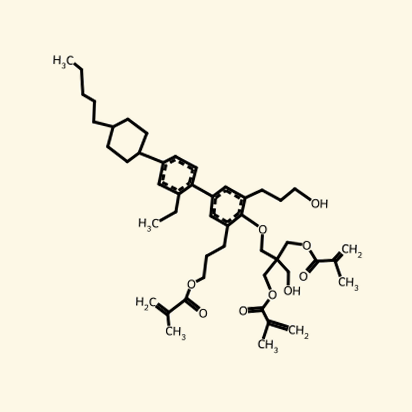 C=C(C)C(=O)OCCCc1cc(-c2ccc(C3CCC(CCCCC)CC3)cc2CC)cc(CCCO)c1OCC(CO)(COC(=O)C(=C)C)COC(=O)C(=C)C